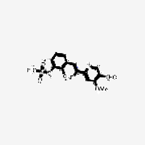 COc1cc(/C(F)=C/c2cccc(OS(=O)(=O)C(F)(F)F)c2Cl)ncc1C=O